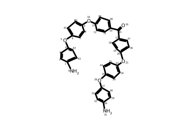 Nc1ccc(Oc2ccc(Oc3ccc(C(=O)c4ccc(Oc5ccc(Oc6ccc(N)cc6)cc5)cc4)cc3)cc2)cc1